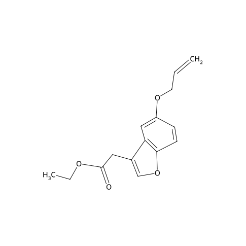 C=CCOc1ccc2occ(CC(=O)OCC)c2c1